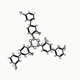 Fc1cccc(-c2ccc(B3OB(c4ccc(-c5cccc(F)c5)cc4F)OB(c4ccc(-c5cccc(F)c5)cc4F)O3)c(F)c2)c1